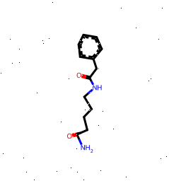 NC(=O)CCCCNC(=O)[CH]c1ccccc1